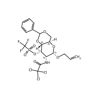 C=CCO[C@H]1O[C@@H]2COC(c3ccccc3)O[C@H]2[C@@H](OS(=O)(=O)C(F)(F)F)[C@H]1NC(=O)C(Cl)(Cl)Cl